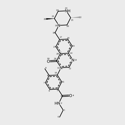 CCNC(=O)c1ccc(C)c(-n2cnc3ccc(CN4C[C@@H](C)NC[C@@H]4C)cc3c2=O)c1